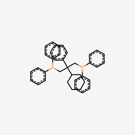 c1ccc(P(CC(CP(c2ccccc2)c2ccccc2)(c2ccccc2)C2CCCCC2)c2ccccc2)cc1